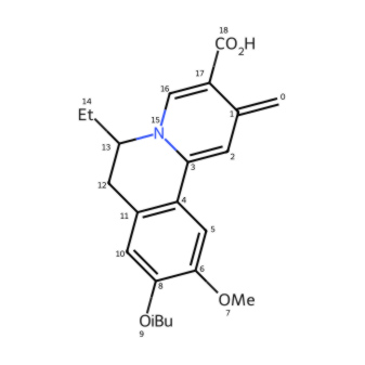 C=C1C=C2c3cc(OC)c(OCC(C)C)cc3CC(CC)N2C=C1C(=O)O